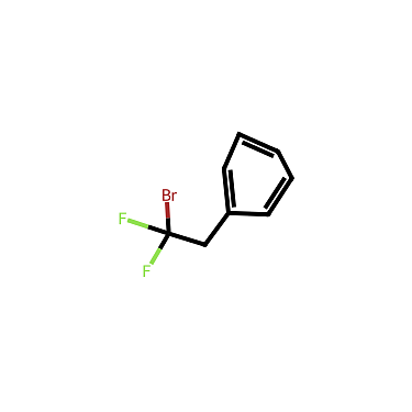 FC(F)(Br)Cc1ccccc1